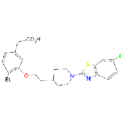 CCc1ccc(CC(=O)O)cc1OCCC1CCN(c2nc3ccc(Cl)cc3s2)CC1